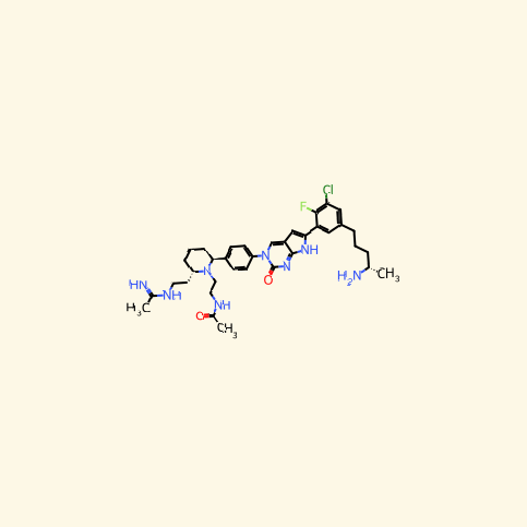 CC(=N)NCC[C@@H]1CCC[C@@H](c2ccc(-n3cc4cc(-c5cc(CCC[C@H](C)N)cc(Cl)c5F)[nH]c4nc3=O)cc2)N1CCNC(C)=O